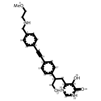 COCCNCc1ccc(C#Cc2ccc(C(CO)Cc3nc[nH]c(=O)c3O)cc2)cc1